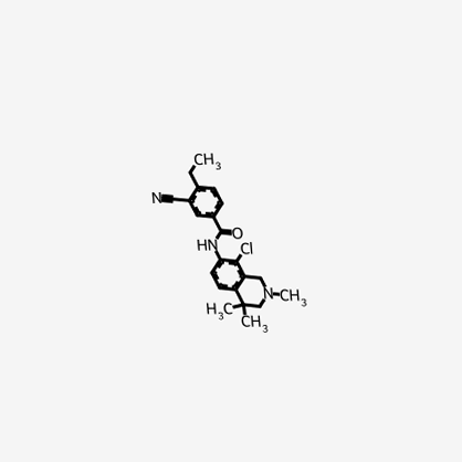 CCc1ccc(C(=O)Nc2ccc3c(c2Cl)CN(C)CC3(C)C)cc1C#N